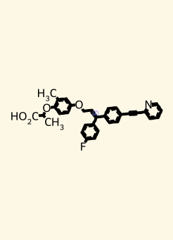 Cc1cc(OC/C=C(\c2ccc(F)cc2)c2ccc(C#Cc3ccccn3)cc2)ccc1OC(C)C(=O)O